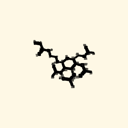 C=CC(=O)OCCO[C@@H]1O[C@H](COC(C)=O)[C@@H](OC(C)=O)[C@H](OC(C)=O)[C@H]1OC(C)=O